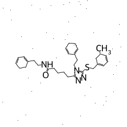 CC1C=CC=C(CSc2nnc(CCCCC(=O)NCCC3=CC=CCC3)n2CCC2=CCCC=C2)C1